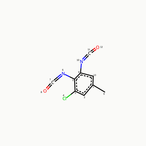 Cc1cc(Cl)c(N=C=O)c(N=C=O)c1